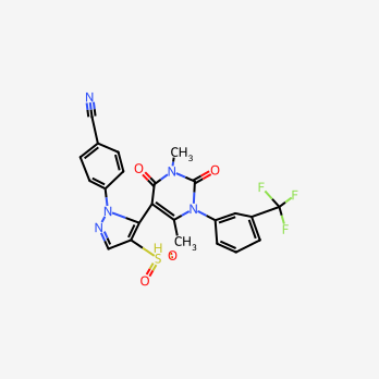 Cc1c(-c2c([SH](=O)=O)cnn2-c2ccc(C#N)cc2)c(=O)n(C)c(=O)n1-c1cccc(C(F)(F)F)c1